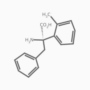 Cc1ccccc1[C@](N)(Cc1ccccc1)C(=O)O